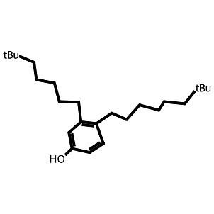 CC(C)(C)CCCCCCc1ccc(O)cc1CCCCCC(C)(C)C